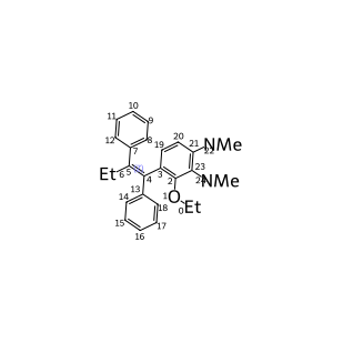 CCOc1c(/C(=C(/CC)c2ccccc2)c2ccccc2)ccc(NC)c1NC